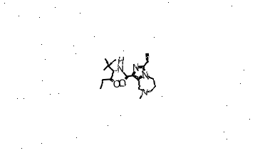 C=Cc1nc(C(=O)N[C@H](C(=O)CC)C(C)(C)C)c2n1CCCN(C)C2